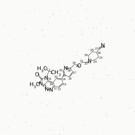 CC(C)n1c(=O)n(C)c2nnc3ccc(-c4ccc(COCCN5CCC(C#N)CC5)nc4)cc3c21